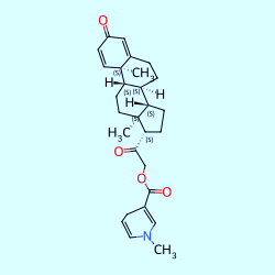 CN1C=CCC(C(=O)OCC(=O)[C@H]2CC[C@H]3[C@@H]4CCC5=CC(=O)C=C[C@]5(C)[C@H]4CC[C@]23C)=C1